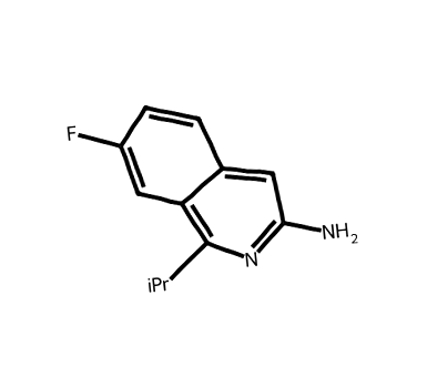 CC(C)c1nc(N)cc2ccc(F)cc12